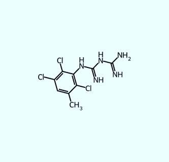 Cc1cc(Cl)c(Cl)c(NC(=N)NC(=N)N)c1Cl